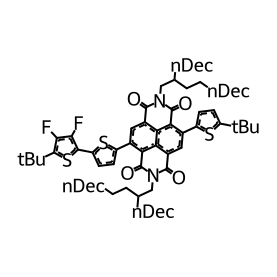 CCCCCCCCCCCCC(CCCCCCCCCC)CN1C(=O)c2cc(-c3ccc(C(C)(C)C)s3)c3c4c(cc(-c5ccc(-c6sc(C(C)(C)C)c(F)c6F)s5)c(c24)C1=O)C(=O)N(CC(CCCCCCCCCC)CCCCCCCCCCCC)C3=O